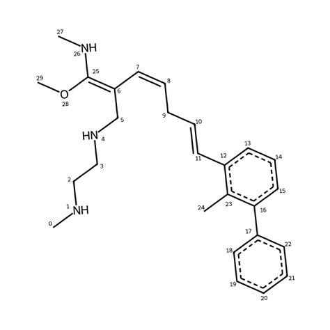 CNCCNCC(/C=C\C/C=C/c1cccc(-c2ccccc2)c1C)=C(/NC)OC